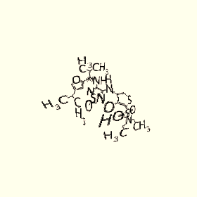 CCN(CC)S(=O)(=O)C1=C(O)C(Nc2n[s+]([O-])nc2N[C@@H](c2cc(C(C)C)co2)C(C)C)CS1